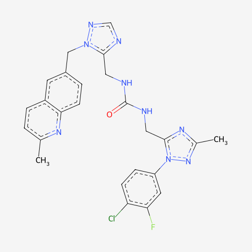 Cc1ccc2cc(Cn3ncnc3CNC(=O)NCc3nc(C)nn3-c3ccc(Cl)c(F)c3)ccc2n1